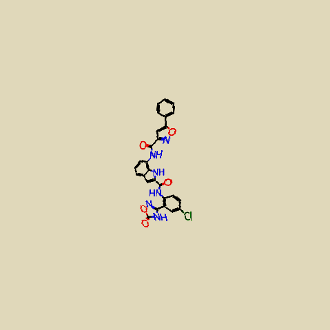 O=C(Nc1cccc2cc(C(=O)Nc3ccc(Cl)cc3-c3noc(=O)[nH]3)[nH]c12)c1cc(-c2ccccc2)on1